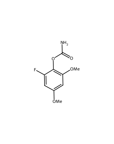 COc1cc(F)c(OC(N)=O)c(OC)c1